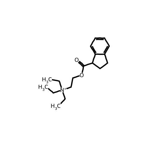 CC[N+](CC)(CC)CCOC(=O)C1CCc2ccccc21